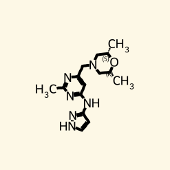 Cc1nc(CN2C[C@@H](C)O[C@@H](C)C2)cc(Nc2cc[nH]n2)n1